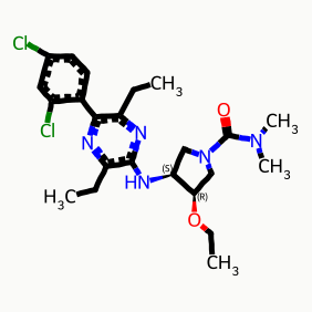 CCO[C@@H]1CN(C(=O)N(C)C)C[C@@H]1Nc1nc(CC)c(-c2ccc(Cl)cc2Cl)nc1CC